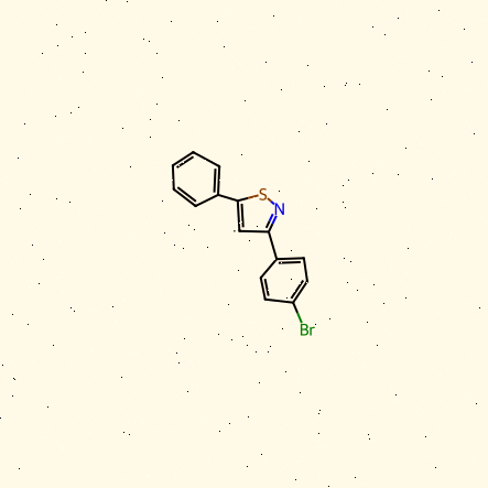 Brc1ccc(-c2[c]c(-c3ccccc3)sn2)cc1